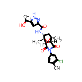 CC(O)c1cc(C(=O)N[C@@H]2C[C@@]3(C)O[C@]2(C)[C@@H]2C(=O)N(c4ccc(C#N)c(Cl)c4)C(=O)[C@@H]23)n[nH]1